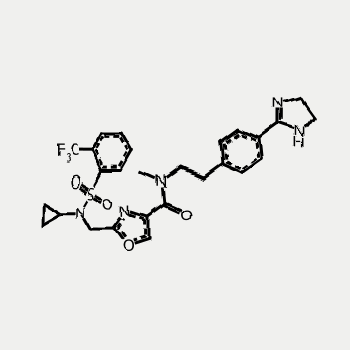 CN(CCc1ccc(C2=NCCN2)cc1)C(=O)c1coc(CN(C2CC2)S(=O)(=O)c2ccccc2C(F)(F)F)n1